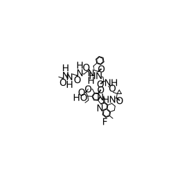 CC[C@@]1(O)C(=O)OCc2c1cc1n(c2=O)Cc2c-1nc1cc(F)c(C)c3c1c2[C@@H](NC(=O)C1(COCNC(=O)CNC(=O)[C@H](Cc2ccccc2)NC(=O)CNC(=O)CNNC(C)=O)CC1)CC3